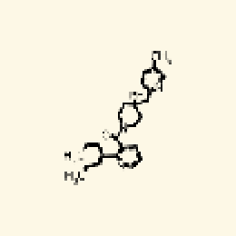 C=C/C=C(\C=C/C)c1ncccc1C(=O)N1CCC(P)(Cc2ccc(C)cn2)CC1